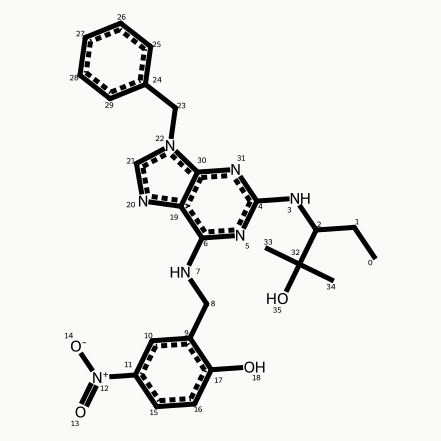 CCC(Nc1nc(NCc2cc([N+](=O)[O-])ccc2O)c2ncn(Cc3ccccc3)c2n1)C(C)(C)O